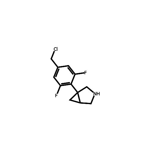 Fc1cc(CCl)cc(F)c1C12CNCC1C2